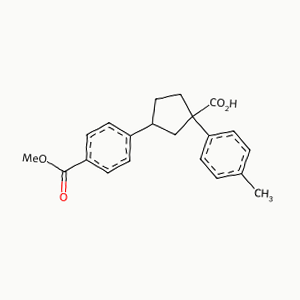 COC(=O)c1ccc(C2CCC(C(=O)O)(c3ccc(C)cc3)C2)cc1